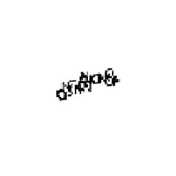 CC(C)(C)OC(=O)N1CCC(n2ncc3c(Oc4nc5ccccc5s4)ncnc32)CC1